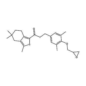 Cc1cc(CCC(=O)c2sc(C)c3c2CCC(C)(C)C3)cc(C)c1OCC1CO1